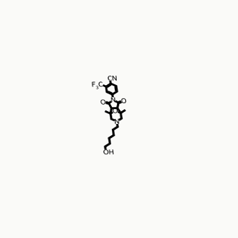 CC12CN(CCCCCCO)CC(C)(O1)C1C(=O)N(c3ccc(C#N)c(C(F)(F)F)c3)C(=O)C12